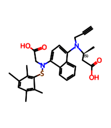 C#CCN(c1ccc(N(CC(=O)O)Sc2c(C)c(C)cc(C)c2C)c2ccccc12)[C@@H](C)CC(=O)O